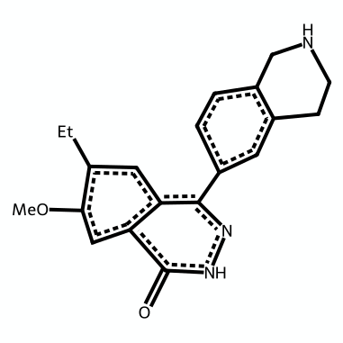 CCc1cc2c(-c3ccc4c(c3)CCNC4)n[nH]c(=O)c2cc1OC